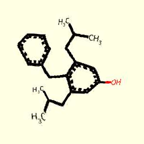 CC(C)Cc1cc(O)cc(CC(C)C)c1Cc1ccccc1